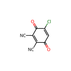 N#CC1=C(C#N)C(=O)C(Cl)=CC1=O